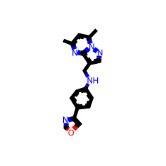 Cc1cc(C)n2ncc(CNc3ccc(-c4cocn4)cc3)c2n1